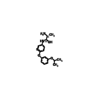 CC(C)Oc1cccc(Oc2ccc(N[C@H](O)[C@@H](C)N)cn2)c1